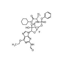 CCOc1nc(NC=O)nc2c1ncn2[C@@H]1O[C@]2(F)C(OP(=O)(NC(C)C(=O)OC3CCCCC3)Oc3ccccc3)[C@]2(F)[C@@]1(C)O